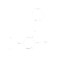 COc1ccc(B(O)O)cc1COC1CCOCC1